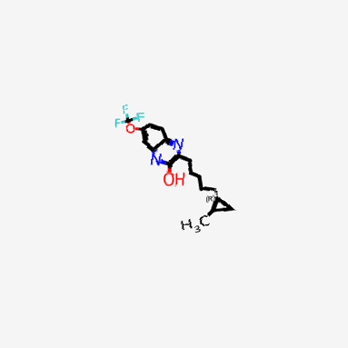 CC1C[C@H]1CCCCCc1nc2ccc(OC(F)(F)F)cc2nc1O